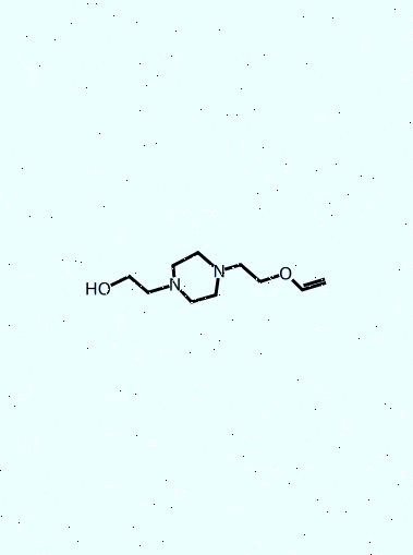 C=COCCN1CCN(CCO)CC1